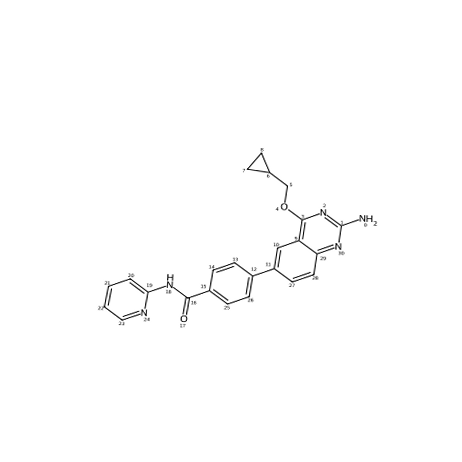 Nc1nc(OCC2CC2)c2cc(-c3ccc(C(=O)Nc4ccccn4)cc3)ccc2n1